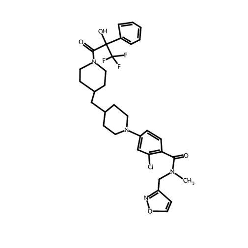 CN(Cc1ccon1)C(=O)c1ccc(N2CCC(CC3CCN(C(=O)C(O)(c4ccccc4)C(F)(F)F)CC3)CC2)cc1Cl